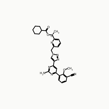 COc1c(C#N)cccc1-c1cc(-c2cn(Cc3cccc([C@H](C)OC(=O)C4CCCCC4)n3)nn2)nc(N)n1